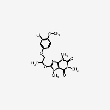 CC(COc1ccc(OC(F)(F)F)c(Cl)c1)Oc1nc2c(c(=O)n(C)c(=O)n2C)n1C